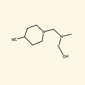 CN(CN1CCC(C#N)CC1)SO